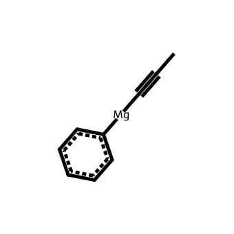 CC#[C][Mg][c]1ccccc1